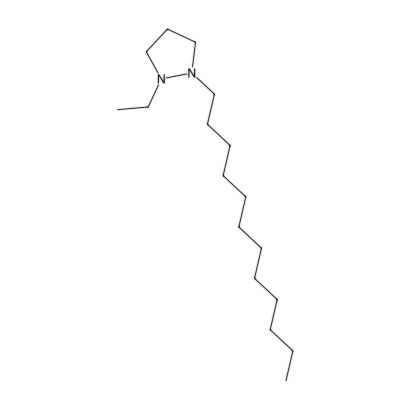 CCCCCCCCCCCCN1CCCN1CC